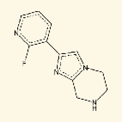 Fc1ncccc1-c1cn2c(n1)CNCC2